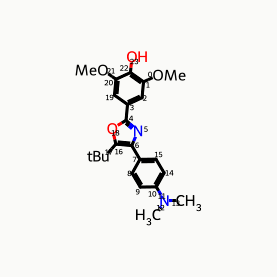 COc1cc(-c2nc(-c3ccc(N(C)C)cc3)c(C(C)(C)C)o2)cc(OC)c1O